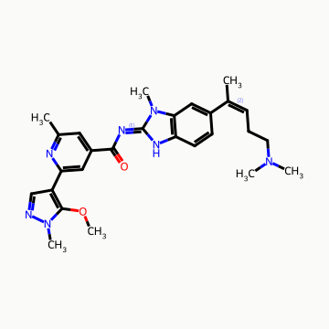 COc1c(-c2cc(C(=O)/N=c3\[nH]c4ccc(/C(C)=C\CCN(C)C)cc4n3C)cc(C)n2)cnn1C